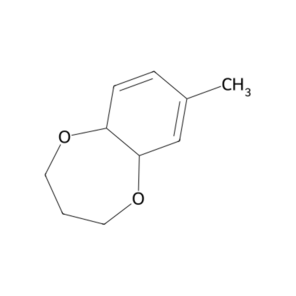 CC1=CC2OCCCOC2C=C1